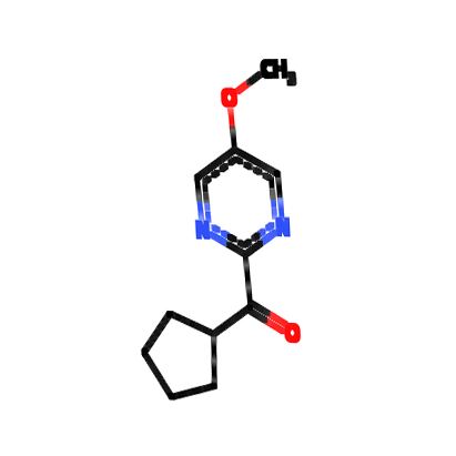 COc1cnc(C(=O)C2CCCC2)nc1